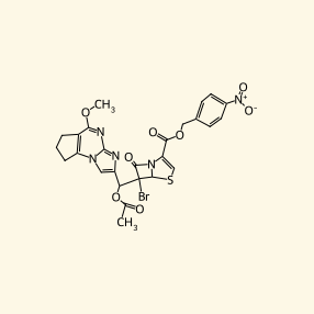 COc1nc2nc(C(OC(C)=O)C3(Br)C(=O)N4C(C(=O)OCc5ccc([N+](=O)[O-])cc5)=CSC43)cn2c2c1CCC2